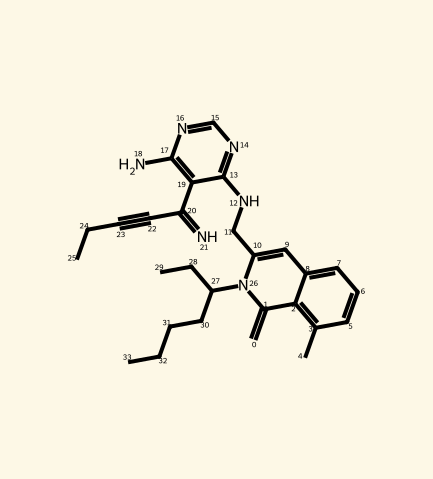 C=C1c2c(C)cccc2C=C(CNc2ncnc(N)c2C(=N)C#CCC)N1C(CC)CCCC